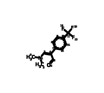 CN(C)/C=C(\C=O)c1ccc(C(F)(F)F)cc1